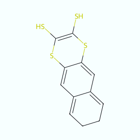 SC1=C(S)Sc2cc3c(cc2S1)=CCCC=3